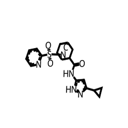 O=C(Nc1cc(C2CC2)n[nH]1)C1CC2CCC1N(S(=O)(=O)c1ccccn1)C2